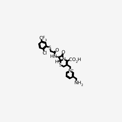 NCc1ccc[n+](CC2=C(C(=O)O)N3C(=O)[C@H](NC(=O)CSc4cc(C(F)(F)F)ccc4Cl)[C@H]3SC2)c1